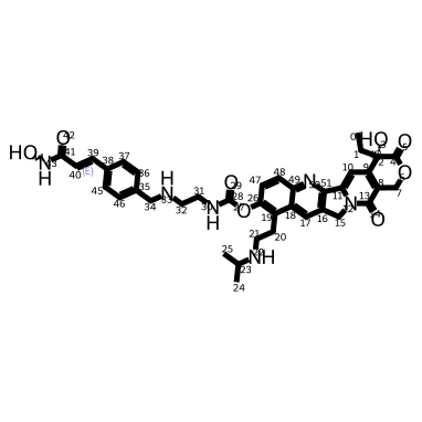 CC[C@@]1(O)C(=O)OCc2c1cc1n(c2=O)Cc2cc3c(CCNC(C)C)c(OC(=O)NCCNCc4ccc(/C=C/C(=O)NO)cc4)ccc3nc2-1